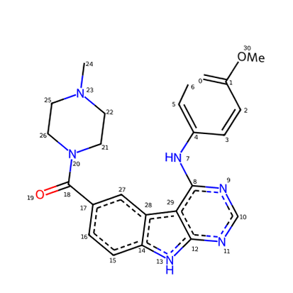 C=C(/C=C\C(=C/C)Nc1ncnc2[nH]c3ccc(C(=O)N4CCN(C)CC4)cc3c12)OC